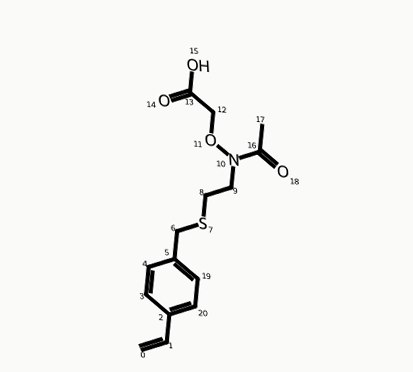 C=Cc1ccc(CSCCN(OCC(=O)O)C(C)=O)cc1